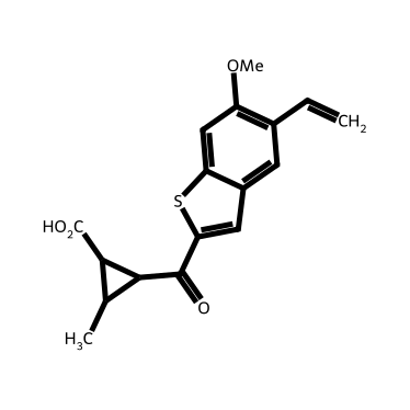 C=Cc1cc2cc(C(=O)C3C(C)C3C(=O)O)sc2cc1OC